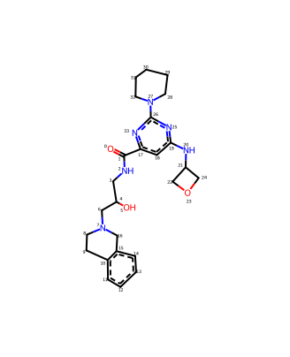 O=C(NCC(O)CN1CCc2ccccc2C1)c1cc(NC2COC2)nc(N2CCCCC2)n1